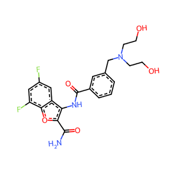 NC(=O)c1oc2c(F)cc(F)cc2c1NC(=O)c1cccc(CN(CCO)CCO)c1